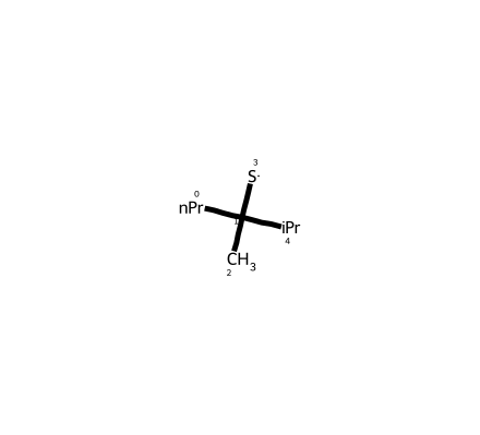 CCCC(C)([S])C(C)C